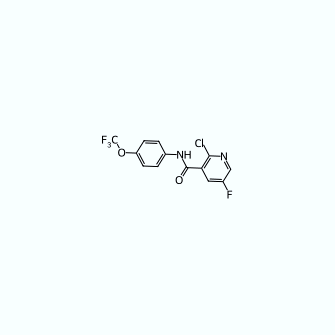 O=C(Nc1ccc(OC(F)(F)F)cc1)c1cc(F)cnc1Cl